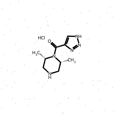 C[C@@H]1CNC[C@H](C)N1C(=O)c1c[nH]nn1.Cl